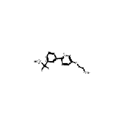 COCCOc1ccc(-c2cccc(C(C)(C)C(=O)O)c2)nc1